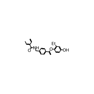 C=C/C(=C\C)C(=O)NCc1ccc(C(=C)Oc2ccc(O)cc2CC)cc1